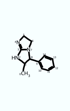 CC1NC2=NCCN2C1c1ccccc1